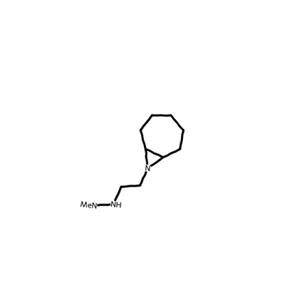 CNNCCN1C2CCCCCC21